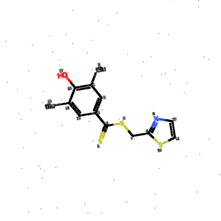 CC(C)(C)c1cc(C(=S)SCc2nccs2)cc(C(C)(C)C)c1O